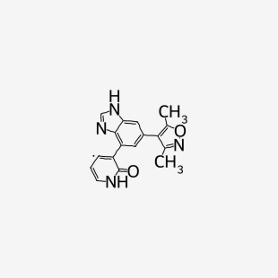 Cc1noc(C)c1-c1cc(-c2[c]cc[nH]c2=O)c2nc[nH]c2c1